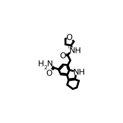 NC(=O)c1cc(CC(=O)N[C@H]2CCOC2)c2[nH]c3c(c2c1)CCCC3